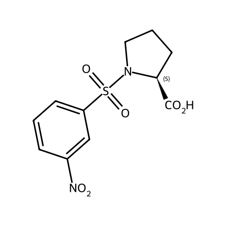 O=C(O)[C@@H]1CCCN1S(=O)(=O)c1cccc([N+](=O)[O-])c1